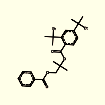 CCC(C)(C)c1ccc(C(=O)OC(C)(C)COC(=O)c2cc[c]cc2)c(C(C)(C)CC)c1